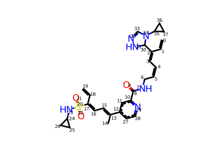 C=C/C(=C\C=C/CNC(=O)c1cc(/C(C)=C/C=C(\C=C)S(=O)(=O)NC2CC2)ccn1)C1NN=CN1C1CC1